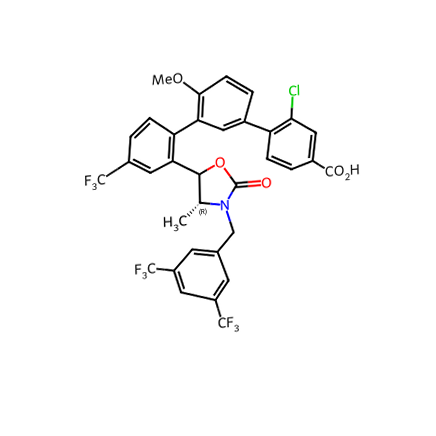 COc1ccc(-c2ccc(C(=O)O)cc2Cl)cc1-c1ccc(C(F)(F)F)cc1C1OC(=O)N(Cc2cc(C(F)(F)F)cc(C(F)(F)F)c2)[C@@H]1C